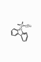 CC(C)(C)[Si](C)(C)n1c2ccccc2c2ccccc21